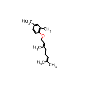 CC(C)=CCC/C(C)=C/COc1ccc(C(=O)O)cc1C